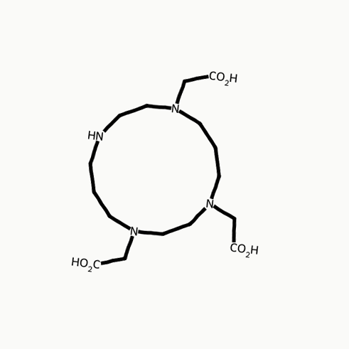 O=C(O)CN1CCCN(CC(=O)O)CCN(CC(=O)O)CCCNCC1